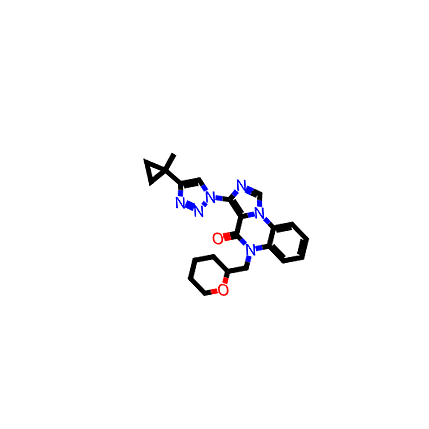 CC1(c2cn(-c3ncn4c3c(=O)n(CC3CCCCO3)c3ccccc34)nn2)CC1